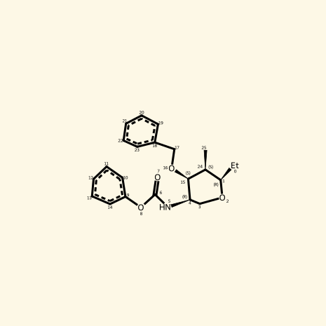 CC[C@H]1OC[C@@H](NC(=O)Oc2ccccc2)[C@@H](OCc2ccccc2)[C@H]1C